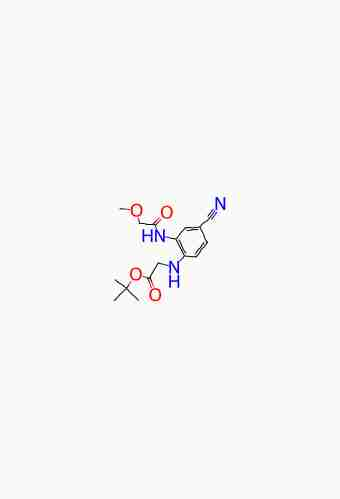 COCC(=O)Nc1cc(C#N)ccc1NCC(=O)OC(C)(C)C